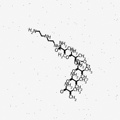 C=C(C)C(N)=O.C=C(C)C(N)=O.C=C(C)C(N)=O.C=C(C)C(N)=O.C=C(C)C(N)=O.CCCOCC.NCCNCCN